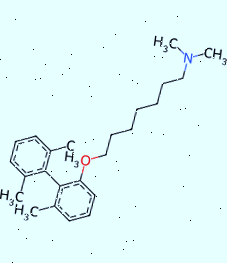 Cc1cccc(C)c1-c1c(C)cccc1OCCCCCCCN(C)C